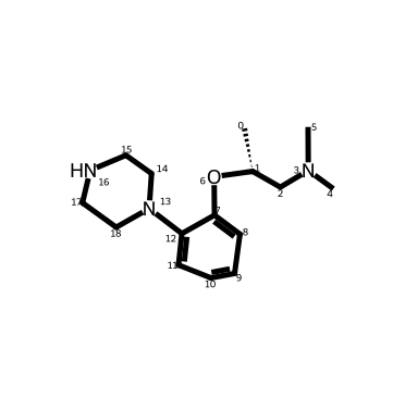 C[C@H](CN(C)C)Oc1ccccc1N1CCNCC1